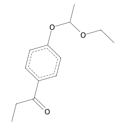 CCOC(C)Oc1ccc(C(=O)CC)cc1